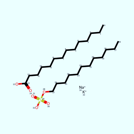 CCCCCCCCCCCCCC(=O)[O-].CCCCCCCCCCCCOS(=O)(=O)[O-].[K+].[Na+]